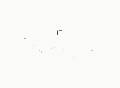 CCCCP=O.F